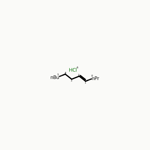 CCCC=CCCCCCC.Cl